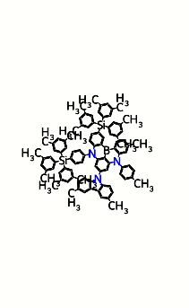 Cc1ccc(N2c3cc(C)ccc3B3c4cc([Si](c5cc(C)cc(C)c5)(c5cc(C)cc(C)c5)c5cc(C)cc(C)c5)ccc4N(c4ccc([Si](c5cc(C)cc(C)c5)(c5cc(C)cc(C)c5)c5cc(C)cc(C)c5)cc4)c4cc(-n5c6ccc(C)cc6c6cc(C)ccc65)cc2c43)cc1